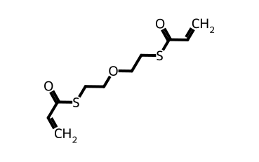 C=CC(=O)SCCOCCSC(=O)C=C